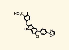 Cc1ccc(Cc2cc3cc(-c4ccc(-c5ncco5)cc4)c(Cl)cc3[nH]2)cc1C(=O)O